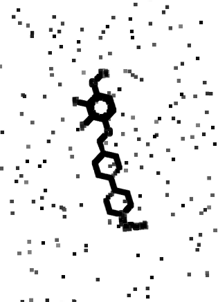 CCCCC[Si@H]1CC[C@H]([C@H]2CC[C@H](COc3ccc(OCC)c(F)c3F)CC2)CC1